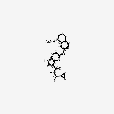 CC(=O)N[C@@H]1CCCc2ccc(Oc3cnc4[nH]cc(C(=O)N[C@H](C)C5CC5)c4n3)cc21